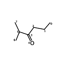 CCCC(=O)[C](C)C